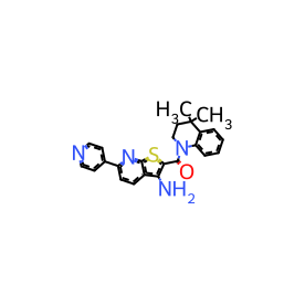 CC1(C)CCN(C(=O)c2sc3nc(-c4ccncc4)ccc3c2N)c2ccccc21